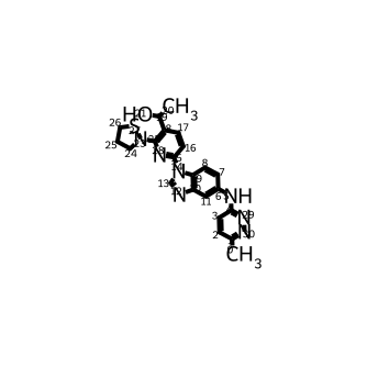 Cc1ccc(Nc2ccc3c(c2)ncn3-c2ccc(C(C)O)c(N3CCCS3)n2)nn1